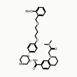 COc1ccccc1COCCCOc1ccc([C@H]2CCNC[C@H]2NC(=O)c2ccc3c(c2)N(CC(=O)N(C)C)CCC3)cc1